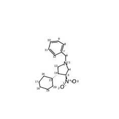 O=[N+]([O-])[C@@H]1CN(Cc2ccccc2)C[C@H]1C1CCCCC1